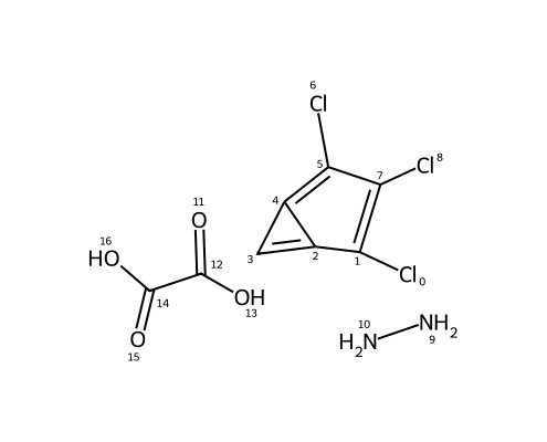 Clc1c2cc-2c(Cl)c1Cl.NN.O=C(O)C(=O)O